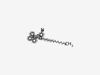 CCCCCCCCCCCCCCCCCCOC[C@H](COC(c1ccccc1)(c1ccccc1)c1ccccc1)Oc1cccc(C#N)c1